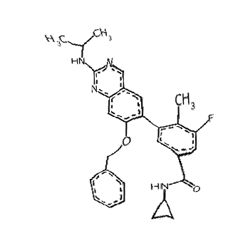 Cc1c(F)cc(C(=O)NC2CC2)cc1-c1cc2cnc(NC(C)C)nc2cc1OCc1ccccc1